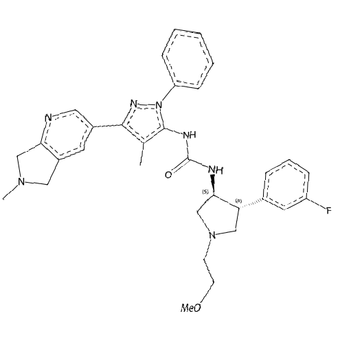 COCCN1C[C@@H](NC(=O)Nc2c(C)c(-c3cnc4c(c3)CN(C)C4)nn2-c2ccccc2)[C@H](c2cccc(F)c2)C1